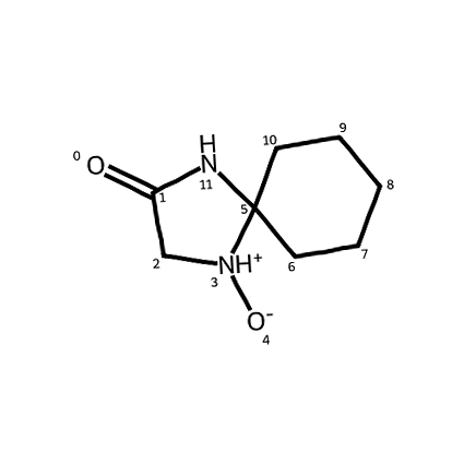 O=C1C[NH+]([O-])C2(CCCCC2)N1